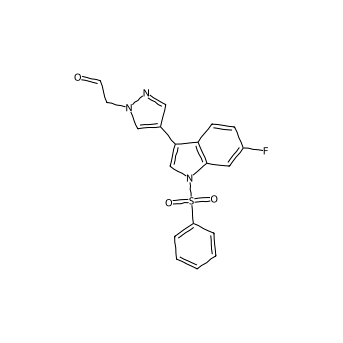 O=CCn1cc(-c2cn(S(=O)(=O)c3ccccc3)c3cc(F)ccc23)cn1